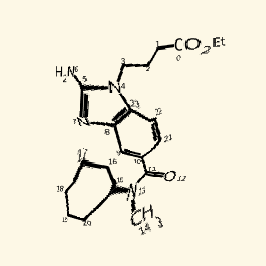 CCOC(=O)CCCn1c(N)nc2cc(C(=O)N(C)C3CCCCC3)ccc21